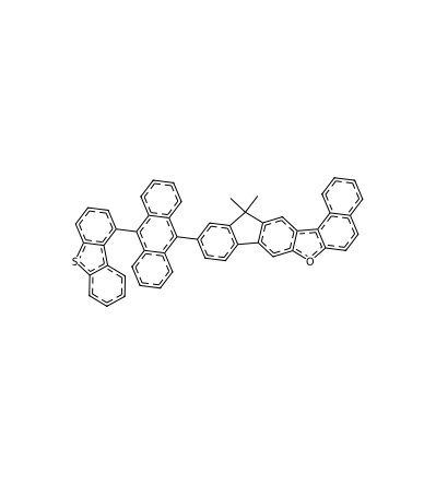 CC1(C)c2cc(-c3c4ccccc4c(-c4cccc5sc6ccccc6c45)c4ccccc34)ccc2-c2cc3oc4ccc5ccccc5c4c3cc21